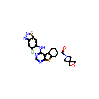 O=C([C@H]1CCc2c(sc3ncnc(Nc4cc5snnc5cc4Cl)c23)C1)N1CC2(COC2)C1